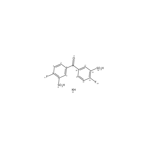 O=C(c1ccc(F)c(S(=O)(=O)O)c1)c1ccc(F)c(S(=O)(=O)O)c1.[KH]